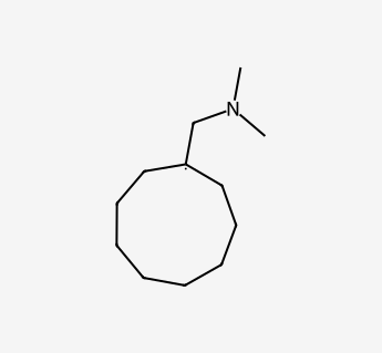 CN(C)C[C]1CCCCCCCC1